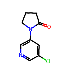 O=C1[CH]CCN1c1cncc(Cl)c1